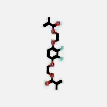 C=C(C)C(=O)O/C=C\Oc1ccc(O/C=C\OC(=O)C(=C)C)c(F)c1F